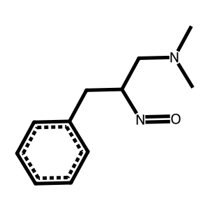 CN(C)CC(Cc1ccccc1)N=O